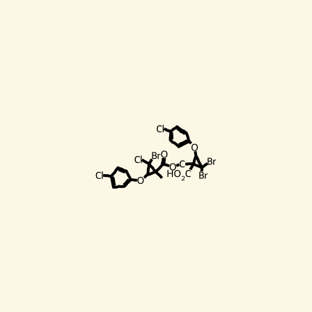 CC1(C(=O)OCC2(C(=O)O)C(Oc3ccc(Cl)cc3)C2(Br)Br)C(Oc2ccc(Cl)cc2)C1(Cl)Br